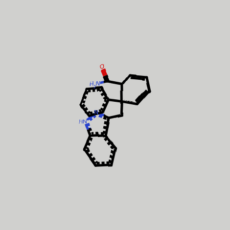 NC(=O)C1C=CC=CC1(Cc1n[nH]c2ccccc12)c1ccccc1